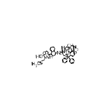 CSCC[C@H](NC(=O)c1ccc(NC[C@H](CSC(c2ccccc2)(c2ccccc2)c2ccccc2)NC(=O)OC(C)(C)C)c2ccccc12)C(=O)O